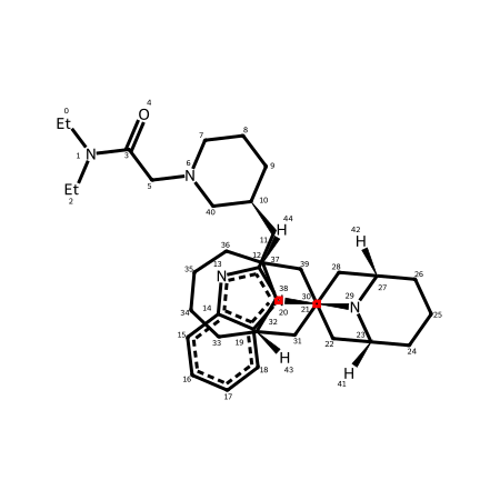 CCN(CC)C(=O)CN1CCC[C@@H](Cc2nc3ccccc3n2[C@@H]2C[C@H]3CCC[C@@H](C2)N3[C@H]2C[C@@H]3CCCC[C@@H](C3)C2)C1